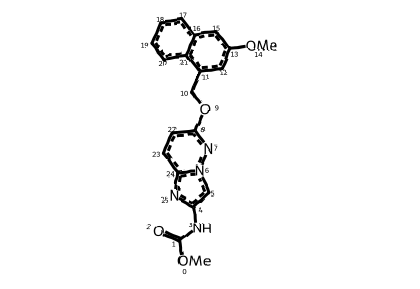 COC(=O)Nc1cn2nc(OCc3cc(OC)cc4ccccc34)ccc2n1